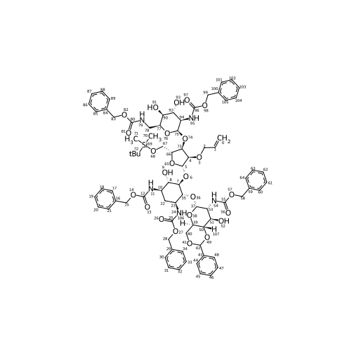 C=CCO[C@H]1[C@H](O[C@@H]2[C@@H](O)[C@H](NC(=O)OCc3ccccc3)C[C@H](NC(=O)OCc3ccccc3)[C@H]2O[C@H]2O[C@@H]3COC(c4ccccc4)O[C@H]3[C@H](O)[C@H]2NC(=O)OCc2ccccc2)O[C@H](CO[Si](C)(C)C(C)(C)C)[C@H]1O[C@H]1O[C@@H](CNC(=O)OCc2ccccc2)[C@@H](O)[C@H](O)[C@H]1NC(=O)OCc1ccccc1